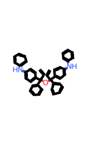 C=CC(OC(C=C)(c1ccccc1)c1ccc(Nc2ccccc2)cc1)(c1ccccc1)c1ccc(Nc2ccccc2)cc1